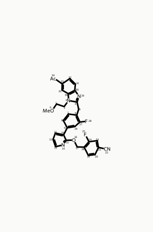 COCCn1c(Cc2ccc(-c3cccnc3OCc3ccc(C#N)cc3F)cc2F)nc2ccc(C(C)=O)cc21